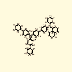 C1=Cc2c(cccc2N(c2ccccc2)c2ccc(-c3ccc(N(c4ccc(-c5ccccc5)cc4)c4ccc(-c5ccccc5)cc4)cc3)cc2)CC1